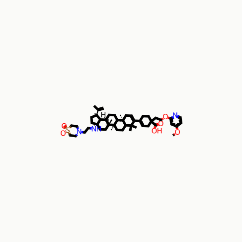 C=C(C)[C@@H]1CC[C@]2(NCCN3CCS(=O)(=O)CC3)CC[C@]3(C)[C@H](CCC4[C@@]5(C)CC=C(C6=CCC(CCOc7cc(OC)ccn7)(C(=O)O)CC6)C(C)(C)C5CC[C@]43C)C12